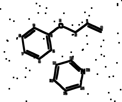 C=CCOc1ccccc1.c1ccncc1